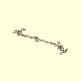 CC(=O)N[C@@H]1[C@@H](O)[C@@H](O)[C@@H](CO)O[C@@H]1CCCCCOCCOCCNC(=O)NCCOCCOCCOCCOCCOCCNS(=O)(=O)c1ccc(N2C(=O)C=CC2=O)cc1